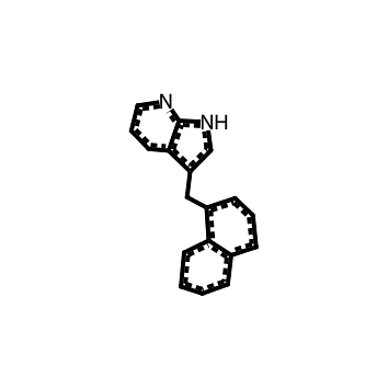 c1ccc2c(Cc3c[nH]c4ncccc34)cccc2c1